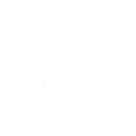 [CH2]c1cnc(CO)n1C